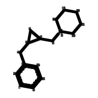 c1ccc(CC2CC2CN2CCCCC2)cc1